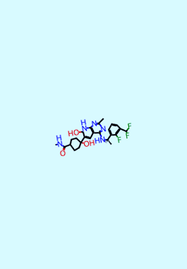 CNC(=O)C1CCC(O)(C2=Cc3c(nc(C)nc3N[C@H](C)c3cccc(C(F)F)c3F)NC2O)CC1